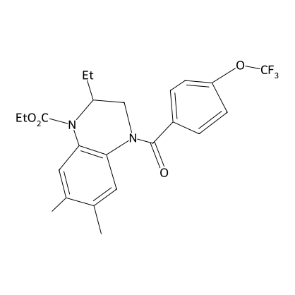 CCOC(=O)N1c2cc(C)c(C)cc2N(C(=O)c2ccc(OC(F)(F)F)cc2)CC1CC